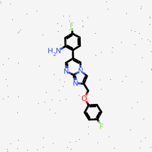 Nc1cc(F)ccc1-c1cnc2nc(COc3ccc(F)cc3)cn2c1